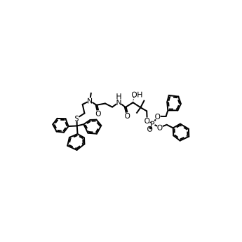 CN(CCSC(c1ccccc1)(c1ccccc1)c1ccccc1)C(=O)CCNC(=O)[C@H](O)C(C)(C)COP(=O)(OCc1ccccc1)OCc1ccccc1